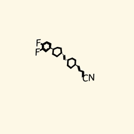 N#CC=CC=C[C@H]1CC[C@H](C=C[C@H]2CC[C@H](c3ccc(F)c(F)c3)CC2)CC1